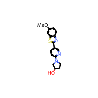 COc1ccc2nc(-c3ccc(N4CC[C@@H](O)C4)nc3)sc2c1